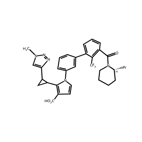 CCC[C@@H]1CCCCN1C(=O)c1cccc(-c2cccc(-n3ccc(C(=O)O)c3C3CC3c3cn(C)nn3)c2)c1C(F)(F)F